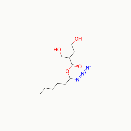 CCCCCC(N=[N+]=[N-])OC(=O)C(CO)CCO